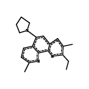 CCc1nc2c(cc1C)cc(N1CCCC1)c1ccc(C)nc12